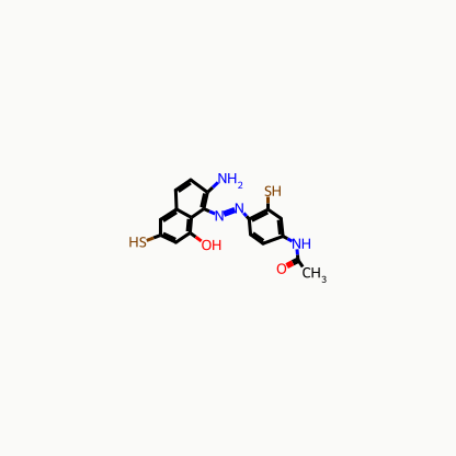 CC(=O)Nc1ccc(/N=N/c2c(N)ccc3cc(S)cc(O)c23)c(S)c1